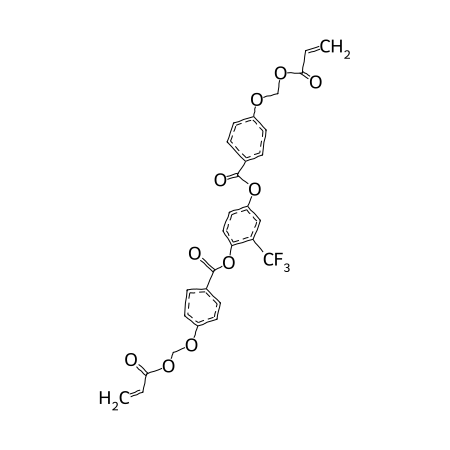 C=CC(=O)OCOc1ccc(C(=O)Oc2ccc(OC(=O)c3ccc(OCOC(=O)C=C)cc3)c(C(F)(F)F)c2)cc1